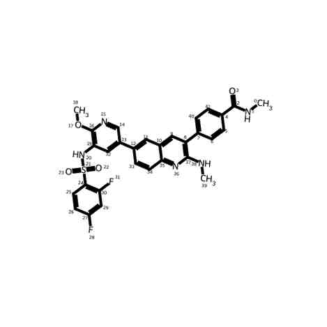 CNC(=O)c1ccc(-c2cc3cc(-c4cnc(OC)c(NS(=O)(=O)c5ccc(F)cc5F)c4)ccc3nc2NC)cc1